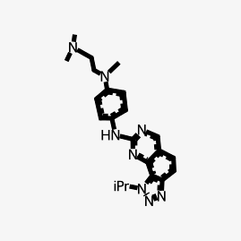 CC(C)n1nnc2ccc3cnc(Nc4ccc(N(C)CCN(C)C)cc4)nc3c21